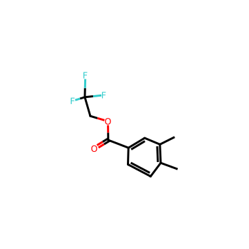 Cc1ccc(C(=O)OCC(F)(F)F)cc1C